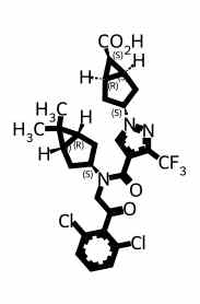 CC1(C)[C@@H]2C[C@@H](N(CC(=O)c3c(Cl)cccc3Cl)C(=O)c3cn([C@@H]4C[C@@H]5[C@H](C4)[C@@H]5C(=O)O)nc3C(F)(F)F)C[C@@H]21